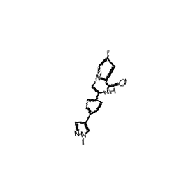 Cn1cc(-c2ccc(-c3cn4cc(F)cc4c(=O)[nH]3)cc2)cn1